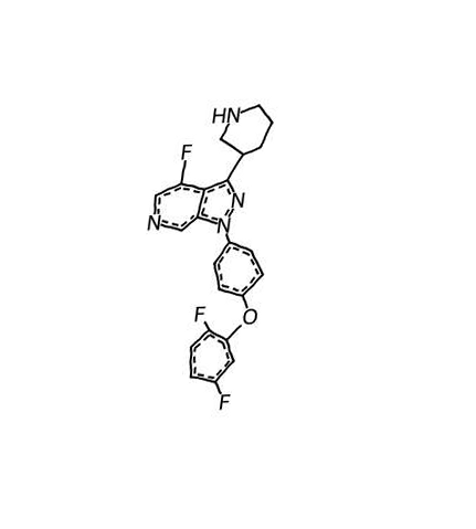 Fc1ccc(F)c(Oc2ccc(-n3nc(C4CCCNC4)c4c(F)cncc43)cc2)c1